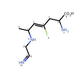 CC(C=C(F)CC(N)C(=O)O)NCC=N